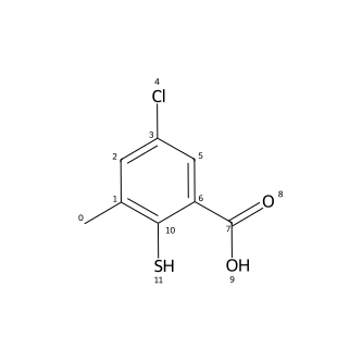 Cc1cc(Cl)cc(C(=O)O)c1S